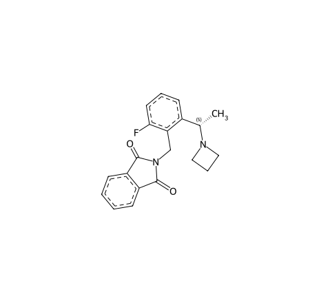 C[C@@H](c1cccc(F)c1CN1C(=O)c2ccccc2C1=O)N1CCC1